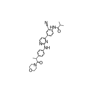 CC(C)C(=O)Nc1ccc(-c2ccnc(Nc3ccc(C(C)C(=O)N4CCOCC4)cc3)n2)cc1C#N